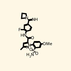 COc1ccc(-n2nc(C)cc2C(=O)Nc2ccc(C(=N)N3CCC3)cc2F)c(S(N)(=O)=O)c1